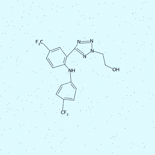 OCCn1nnc(-c2cc(C(F)(F)F)ccc2Nc2ccc(C(F)(F)F)cc2)n1